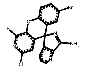 NC1=NC2(c3cc(Br)ccc3Oc3c2cc(Cl)nc3F)c2cccnc21